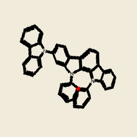 c1ccc(-n2c3ccccc3c3ccc4c5ccc(-n6c7ccccc7c7ccccc76)cc5n(-c5ccccc5)c4c32)cc1